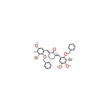 COc1cc(/C=C2\CCC/C(=C\c3cc(OC)c(OC)c(Br)c3OCc3ccccc3)C2=O)c(OCc2ccccc2)c(Br)c1C